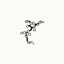 CC(C)(C)OC(=O)NC(COP(=O)(O)OCCN)C(=O)OC(C)(C)C